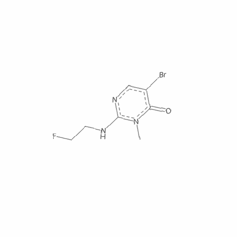 Cn1c(NCCF)ncc(Br)c1=O